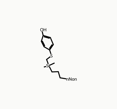 CCCCCCCCCCCC[Si](C)(C)CSc1ccc(O)cc1